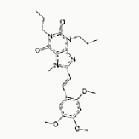 CCCn1c(=O)c2c(nc(C=Cc3cc(OC)c(OC)cc3OC)n2C)n(CCC)c1=O